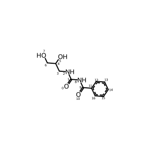 O=C(NCC(O)CO)NC(=O)c1ccccc1